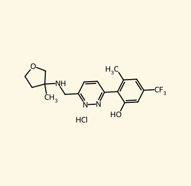 Cc1cc(C(F)(F)F)cc(O)c1-c1ccc(CNC2(C)CCOC2)nn1.Cl